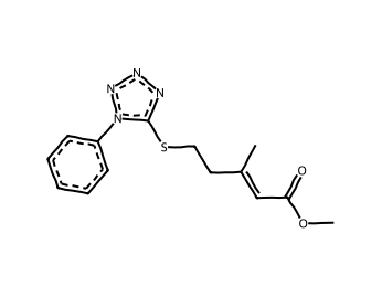 COC(=O)/C=C(\C)CCSc1nnnn1-c1ccccc1